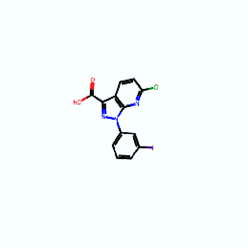 O=C(O)c1nn(-c2cccc(I)c2)c2nc(Cl)ccc12